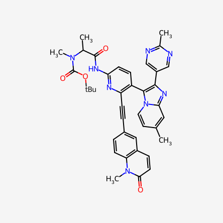 Cc1ccn2c(-c3ccc(NC(=O)C(C)N(C)C(=O)OC(C)(C)C)nc3C#Cc3ccc4c(ccc(=O)n4C)c3)c(-c3cnc(C)nc3)nc2c1